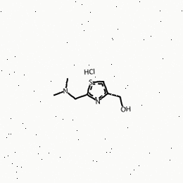 CN(C)Cc1nc(CO)cs1.Cl